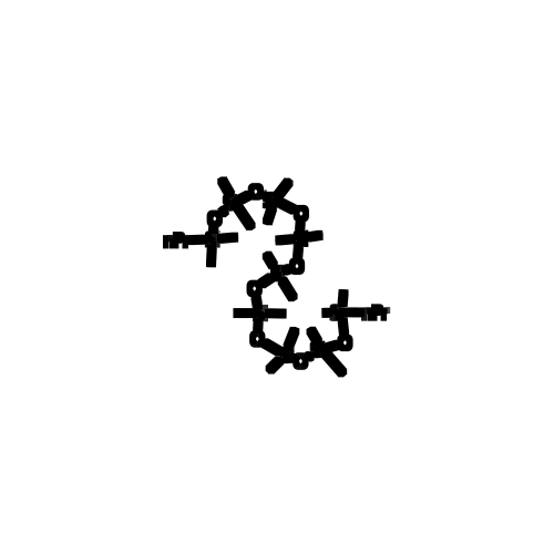 CCC[Si](C)(C)O[Si](C)(C)O[Si](C)(C)O[Si](C)(C)O[Si](C)(C)O[Si](C)(C)O[Si](C)(C)O[Si](C)(C)O[Si](C)(C)CCC